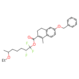 CCOC(C)CCC[C@@H](F)C(F)(F)OC(=O)C1=C(C)c2ccc(OCc3ccccc3)cc2CC1